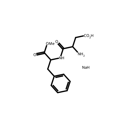 COC(=O)C(Cc1ccccc1)NC(=O)C(N)CC(=O)O.[NaH]